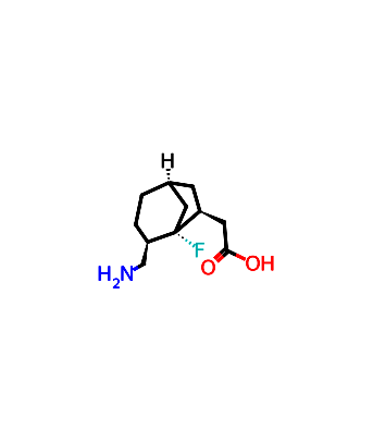 NC[C@H]1CC[C@H]2C[C@@H](CC(=O)O)[C@]1(F)C2